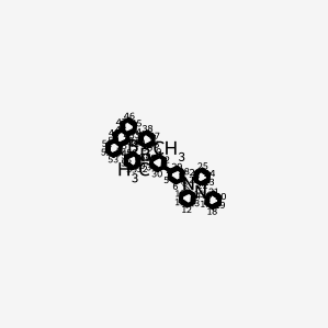 Cc1cc(-c2ccc(N3c4ccccc4N(c4ccccc4)c4ccccc43)cc2)cc(C)c1B1c2ccccc2B(c2c3ccccc3cc3ccccc23)c2ccccc21